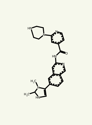 CC1NC=C(c2ccc3cnc(NC(=O)c4ccnc(N5CCNCC5)c4)cc3c2)N1C